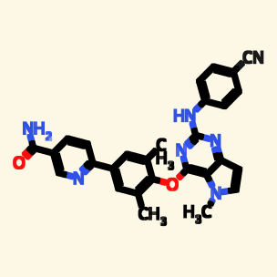 Cc1cc(-c2ccc(C(N)=O)cn2)cc(C)c1Oc1nc(Nc2ccc(C#N)cc2)nc2ccn(C)c12